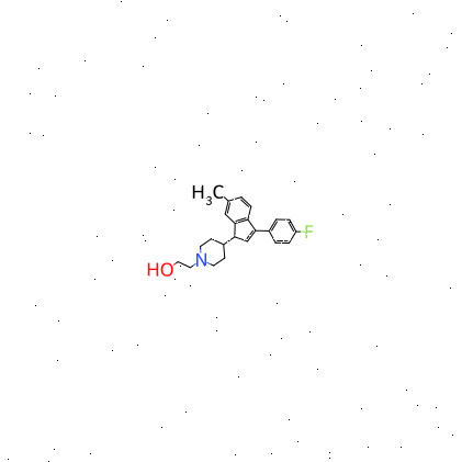 Cc1ccc2c(c1)C(C1CCN(CCO)CC1)C=C2c1ccc(F)cc1